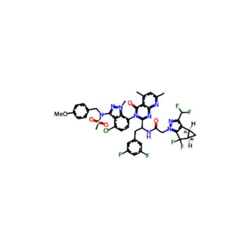 COc1ccc(CN(c2nn(C)c3c(-n4c(C(Cc5cc(F)cc(F)c5)NC(=O)Cn5nc(C(F)F)c6c5C(F)(F)[C@@H]5C[C@H]65)nc5nc(C)cc(C)c5c4=O)ccc(Cl)c23)S(C)(=O)=O)cc1